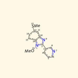 COn1c(-c2cccnc2)nc2cc(SC)ccc21